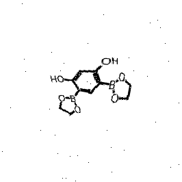 Oc1cc(O)c(B2OCCO2)cc1B1OCCO1